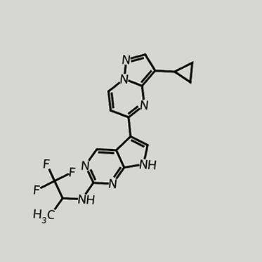 CC(Nc1ncc2c(-c3ccn4ncc(C5CC5)c4n3)c[nH]c2n1)C(F)(F)F